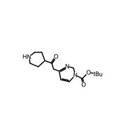 CC(C)(C)OC(=O)N1C=CC(CC(=O)C2CCNCC2)=NC1